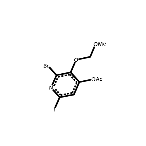 COCOc1c(OC(C)=O)cc(I)nc1Br